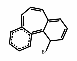 BrC1C=CC=C2C=CC=c3ccccc3=C21